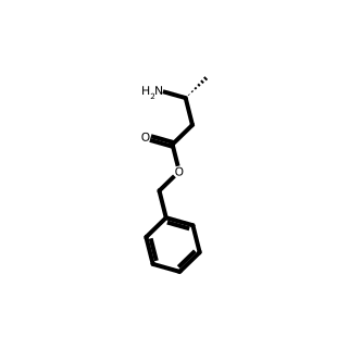 C[C@@H](N)CC(=O)OCc1ccccc1